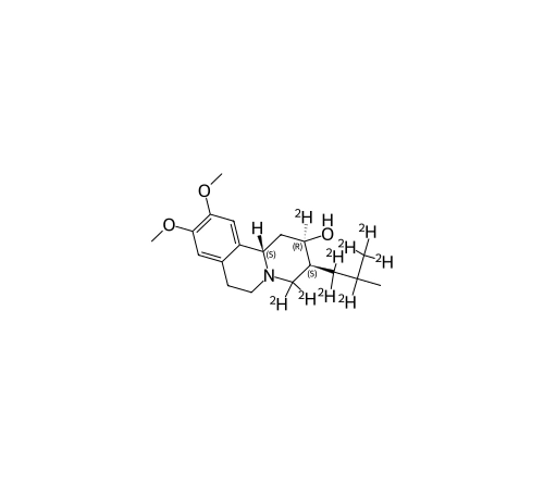 [2H]C1([2H])[C@H](C([2H])([2H])C([2H])(C)C([2H])([2H])[2H])[C@]([2H])(O)C[C@H]2c3cc(OC)c(OC)cc3CCN21